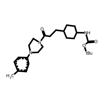 Cc1ccc(N2CCN(C(=O)CCC3CCC(NC(=O)OC(C)(C)C)CC3)CC2)cc1